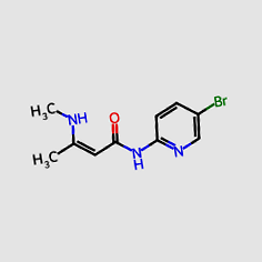 CN/C(C)=C\C(=O)Nc1ccc(Br)cn1